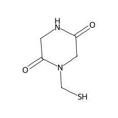 O=C1CN(CS)C(=O)CN1